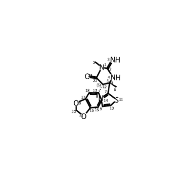 CN1C(=N)N[C@](C)(c2nccs2)[C@H](c2ccc3c(c2)OCO3)C1=O